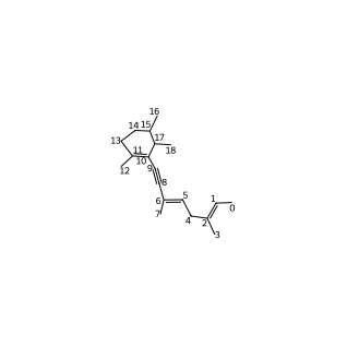 CC=C(C)CC=C(C)C#CC1=C(C)CCC(C)C1C